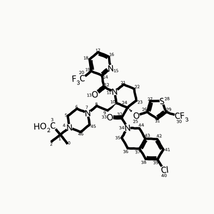 CC(C)(C(=O)O)N1CCN(CC[C@H]2N(C(=O)c3ncccc3C(F)(F)F)CCC[C@@]2(Oc2csc(C(F)(F)F)c2)C(=O)N2CCc3cc(Cl)ccc3C2)CC1